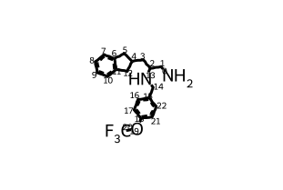 NCC(CC1Cc2ccccc2C1)NCc1ccc(OC(F)(F)F)cc1